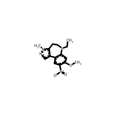 CCN1CCc2c(cnn2C)-c2cc([N+](=O)[O-])c(OC)cc21